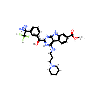 COC(=O)c1ccc2c(c1)[nH]c1nc(C(=O)c3cccc(C4(C(F)(F)F)NN4)c3)nc(NCCCN3CCCCC3)c12